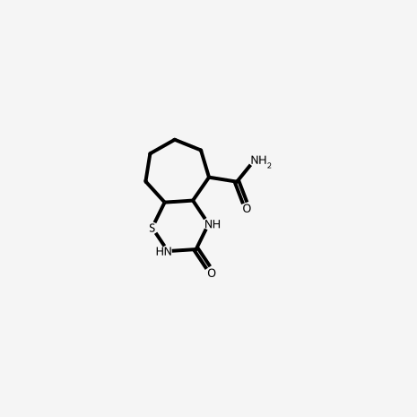 NC(=O)C1CCCCC2SNC(=O)NC21